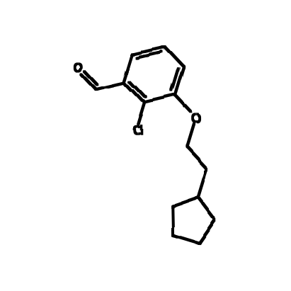 O=Cc1cccc(OCCC2CCCC2)c1Cl